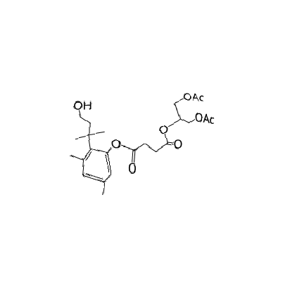 CC(=O)OCC(COC(C)=O)OC(=O)CCC(=O)Oc1cc(C)cc(C)c1C(C)(C)CCO